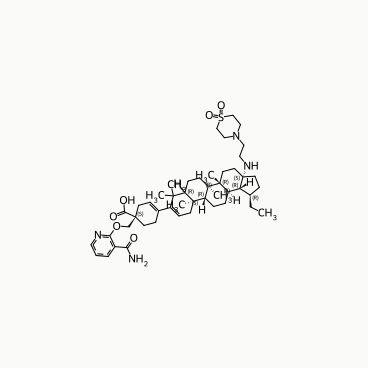 CC[C@@H]1CC[C@]2(NCCN3CCS(=O)(=O)CC3)CC[C@]3(C)[C@H](CC[C@@H]4[C@@]5(C)CC=C(C6=CC[C@@](COc7ncccc7C(N)=O)(C(=O)O)CC6)C(C)(C)[C@@H]5CC[C@]43C)[C@@H]12